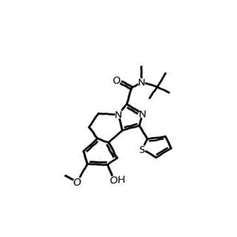 COc1cc2c(cc1O)-c1c(-c3cccs3)nc(C(=O)N(C)C(C)(C)C)n1CC2